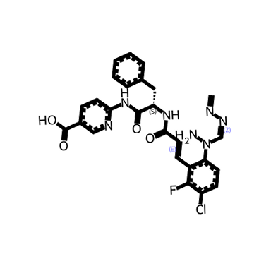 C=N/N=C\N(N)c1ccc(Cl)c(F)c1/C=C/C(=O)N[C@@H](Cc1ccccc1)C(=O)Nc1ccc(C(=O)O)cn1